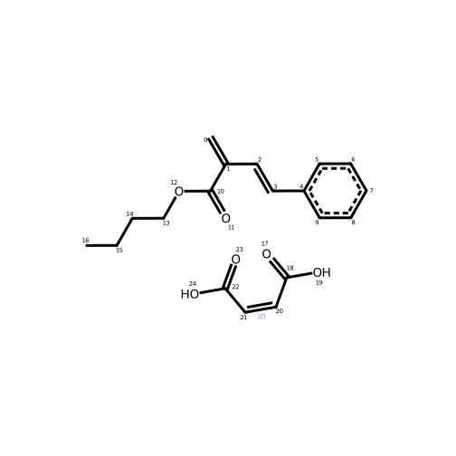 C=C(C=Cc1ccccc1)C(=O)OCCCC.O=C(O)/C=C\C(=O)O